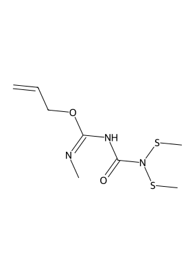 C=CCOC(=NC)NC(=O)N(SC)SC